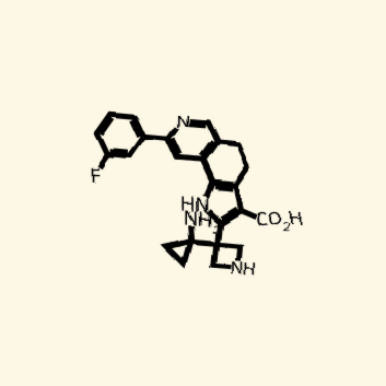 NC1(C2(c3[nH]c4c(c3C(=O)O)CCc3cnc(-c5cccc(F)c5)cc3-4)CNC2)CC1